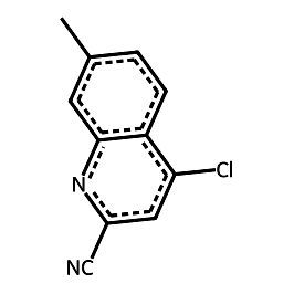 Cc1ccc2c(Cl)cc(C#N)nc2c1